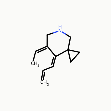 C=C/C=C1\C(=C/C)CNCC12CC2